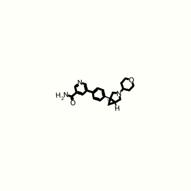 NC(=O)c1cncc(-c2ccc([C@]34C[C@H]3CN(C3CCOCC3)C4)cc2)c1